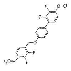 C=Cc1ccc(COc2ccc(-c3ccc(OC)c(F)c3F)cc2)c(F)c1F